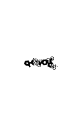 Cc1ccccc1-c1cnc(NC(=O)C2CCC3(CC2)OC(=O)c2c[n+]([O-])ccc23)nc1